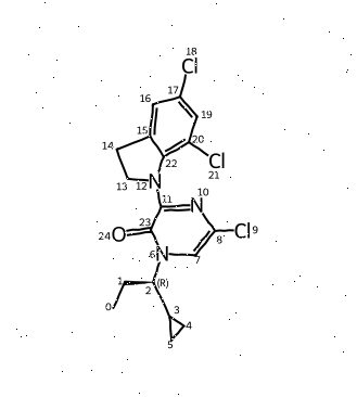 CC[C@H](C1CC1)n1cc(Cl)nc(N2CCc3cc(Cl)cc(Cl)c32)c1=O